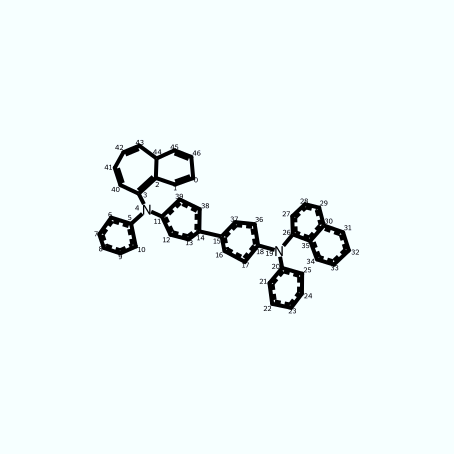 C1=CC2=C(N(c3ccccc3)c3ccc(-c4ccc(N(c5ccccc5)c5cccc6ccccc56)cc4)cc3)C=CC=CC2C=C1